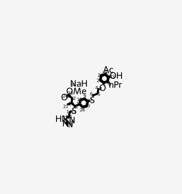 CCCc1c(OCCCSc2ccc(C(SCc3nnn[nH]3)C(C)CC(=O)OC)cc2)ccc(C(C)=O)c1O.[NaH]